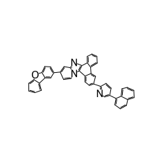 c1ccc2c(-c3ccc(-c4ccc5c(c4)c4ccccc4c4nc6cc(-c7ccc8oc9ccccc9c8c7)ccn6c54)nc3)cccc2c1